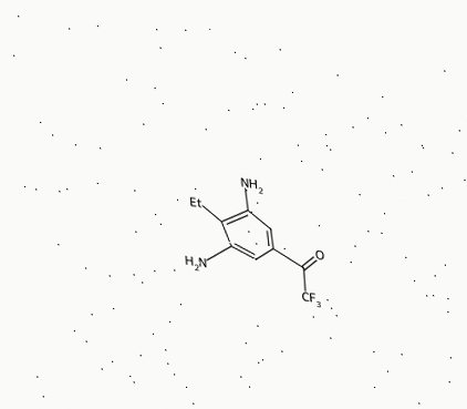 CCc1c(N)cc(C(=O)C(F)(F)F)cc1N